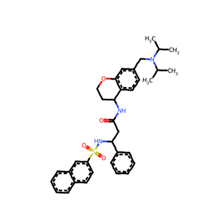 CC(C)N(Cc1ccc2c(c1)OCCC2NC(=O)CC(NS(=O)(=O)c1ccc2ccccc2c1)c1ccccc1)C(C)C